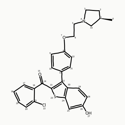 C[C@@H]1CCN(CCOc2ccc(-c3c(C(=O)c4ccccc4Cl)sc4cc(O)ccc34)cc2)C1